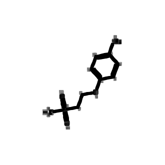 CC(C)(C)c1ccc(OCCS(C)(=O)=O)cc1